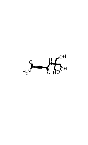 NC(=O)C#CC(=O)NC(CO)(CO)CO